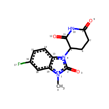 Cn1c(=O)n(C2CCC(=O)NC2=O)c2ccc(F)cc21